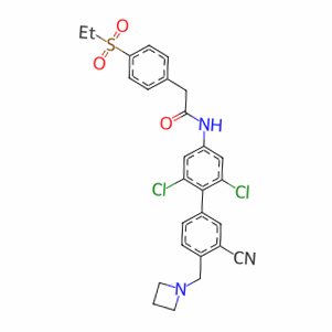 CCS(=O)(=O)c1ccc(CC(=O)Nc2cc(Cl)c(-c3ccc(CN4CCC4)c(C#N)c3)c(Cl)c2)cc1